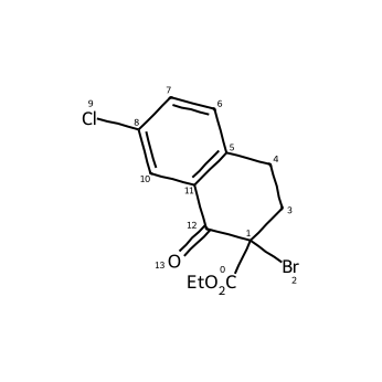 CCOC(=O)C1(Br)CCc2ccc(Cl)cc2C1=O